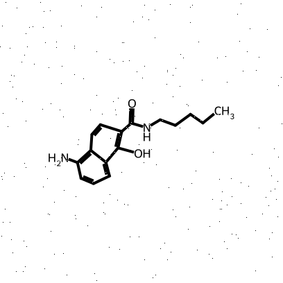 CCCCCNC(=O)c1ccc2c(N)cccc2c1O